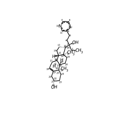 CC[C@@](O)(CCc1cccnc1)[C@H]1CC[C@H]2[C@@H]3CC=C4C[C@@H](O)CC[C@]4(C)[C@H]3CC[C@]12C